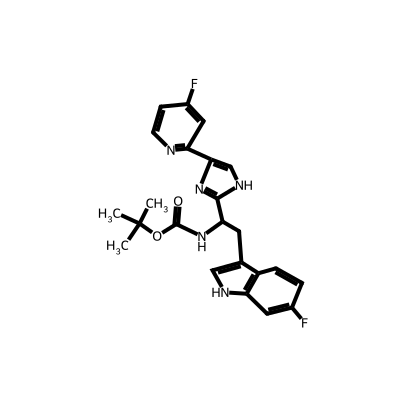 CC(C)(C)OC(=O)NC(Cc1c[nH]c2cc(F)ccc12)c1nc(-c2cc(F)ccn2)c[nH]1